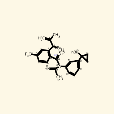 C=C(C)C(CC)c1cc(C(F)(F)F)ccc1/C(=N\C)N(C(C)=N)c1cccc(C2(CCCC)CC2)c1